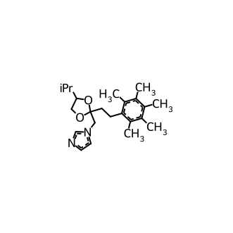 Cc1c(C)c(C)c(CCC2(Cn3ccnc3)OCC(C(C)C)O2)c(C)c1C